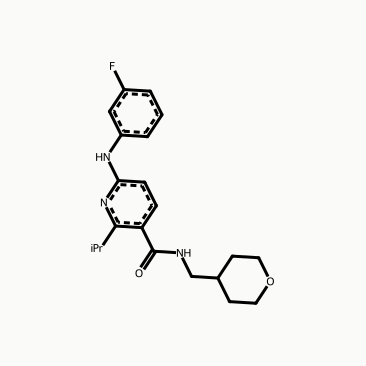 CC(C)c1nc(Nc2cccc(F)c2)ccc1C(=O)NCC1CCOCC1